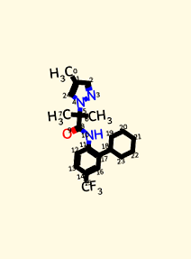 Cc1cnn(C(C)(C)C(=O)Nc2ccc(C(F)(F)F)cc2C2CCCCC2)c1